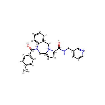 O=C(NCc1cccnc1)c1ccc2n1Cc1ccccc1N(C(=O)c1ccc([N+](=O)[O-])cc1)C2